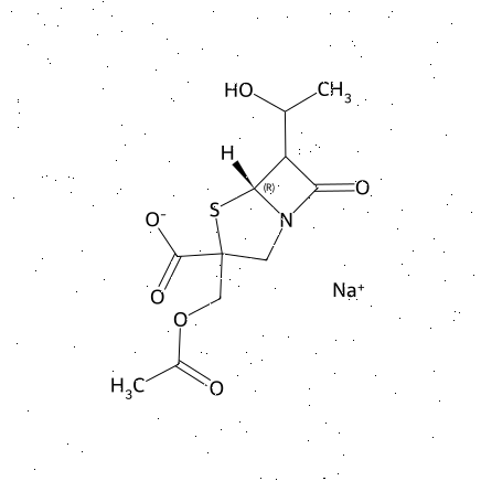 CC(=O)OCC1(C(=O)[O-])CN2C(=O)C(C(C)O)[C@H]2S1.[Na+]